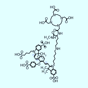 CNC(=O)[C@H](CCCCNCCCCCC[N+]1=C(/C=C/C2=C(Oc3ccc(S(=O)(=O)O)cc3)C(=C/C=C3/N(CCCCS(=O)(=O)O)c4ccc(S(=O)(=O)O)cc4C3(C)C)/CCC2)C(C)(C)c2cc(S(=O)(=O)O)ccc21)NC(=O)CN1CCN(CC(=O)O)CCN(CC(=O)O)CCN(CC(=O)O)CC1